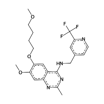 COCCCCOc1cc2c(NCc3ccnc(C(F)(F)F)c3)nc(C)nc2cc1OC